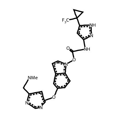 CNCc1cc(Oc2ccc3c(ccn3OC(=O)Nc3cc(C4(C(F)(F)F)CC4)[nH]n3)c2)ncn1